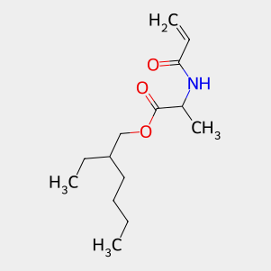 C=CC(=O)NC(C)C(=O)OCC(CC)CCCC